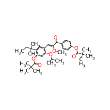 CCC(C)(C)c1cc(C=C(OC)C(=O)c2ccc(OC(=O)C(C)(C)C)cc2)c(OC(C)C)cc1OC(=O)C(C)(C)C